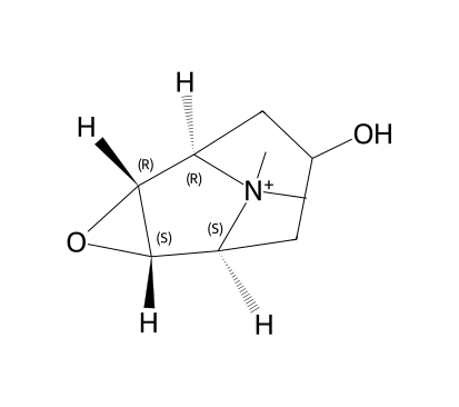 C[N+]1(C)[C@@H]2CC(O)C[C@H]1[C@@H]1O[C@@H]12